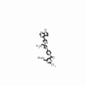 CNCc1cc(C(=O)N2CCC(N3CC(CN)(n4cc(-c5ncnc6[nH]ccc56)cn4)C3)CC2)nc(C(F)(F)F)n1